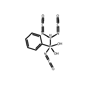 O=C=N[SH](N=C=O)P(O)(O)(N=C=O)c1ccccc1